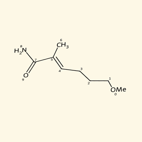 COCCC/C=C(\C)C(N)=O